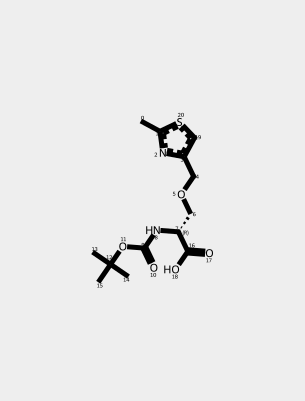 Cc1nc(COC[C@@H](NC(=O)OC(C)(C)C)C(=O)O)cs1